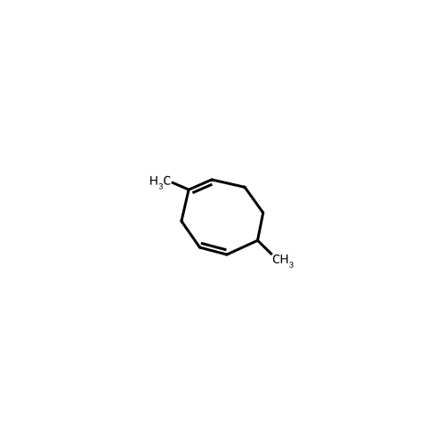 CC1=CCCC(C)C=CC1